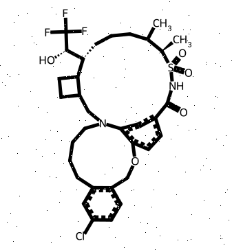 CC1CCC[C@@H]([C@H](O)C(F)(F)F)C2CCC2CN2CCCCc3cc(Cl)ccc3COc3ccc(cc32)C(=O)NS(=O)(=O)[C@@H]1C